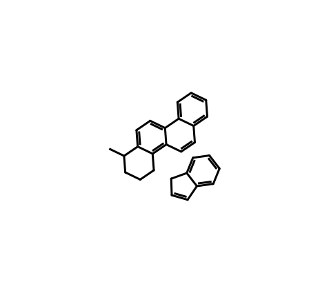 C1=Cc2ccccc2C1.CC1CCCc2c1ccc1c2ccc2ccccc21